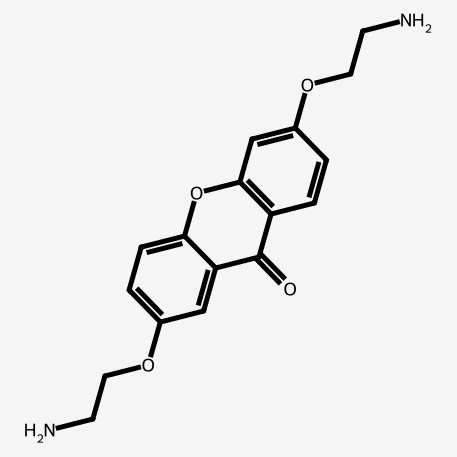 NCCOc1ccc2c(=O)c3cc(OCCN)ccc3oc2c1